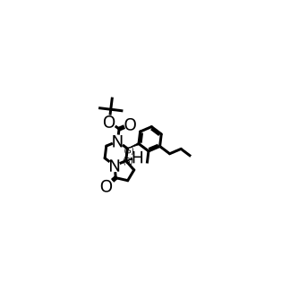 CCCc1cccc([C@H]2[C@@H]3CCC(=O)N3CCN2C(=O)OC(C)(C)C)c1C